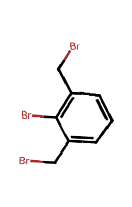 BrCc1cccc(CBr)c1Br